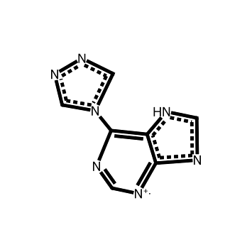 C1=NC(n2cnnc2)=c2[nH]cnc2=[N+]1